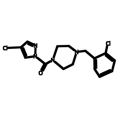 O=C(N1CCN(Cc2ccccc2Cl)CC1)n1cc(Cl)cn1